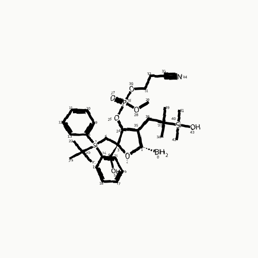 B[C@@H]1O[C@](CO)(C[Si](c2ccccc2)(c2ccccc2)C(C)(C)C)C(OP(=O)(OC)OCCC#N)C1CC(C)(C)[Si](C)(C)O